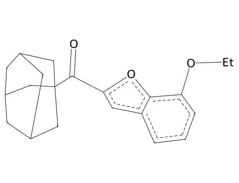 CCOc1cccc2cc(C(=O)C34CC5CC(CC(C5)C3)C4)oc12